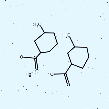 CC1CCCC(C(=O)[O-])C1.CC1CCCC(C(=O)[O-])C1.[Hg+2]